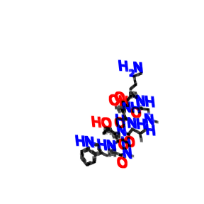 CNCC(=O)N[C@@H](CCCCN)C(=O)N[C@@H](CO)C(=O)NC(C(=O)N[C@H](C(=O)N[C@@H](Cc1c[nH]c2ccccc12)C(=O)NC)[C@@H](C)O)C(C)C